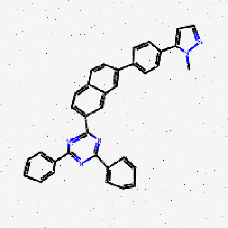 Cn1nccc1-c1ccc(-c2ccc3ccc(-c4nc(-c5ccccc5)nc(-c5ccccc5)n4)cc3c2)cc1